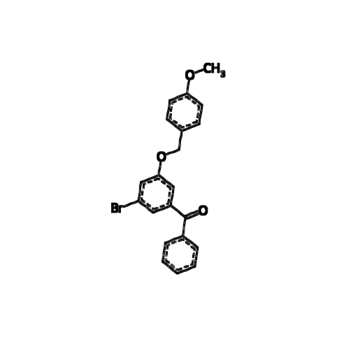 COc1ccc(COc2cc(Br)cc(C(=O)c3ccccc3)c2)cc1